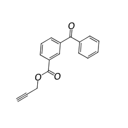 C#CCOC(=O)c1cccc(C(=O)c2ccccc2)c1